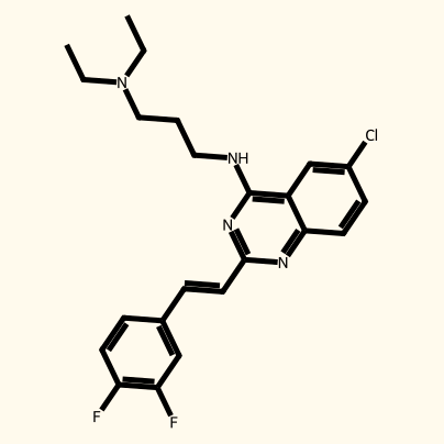 CCN(CC)CCCNc1nc(/C=C/c2ccc(F)c(F)c2)nc2ccc(Cl)cc12